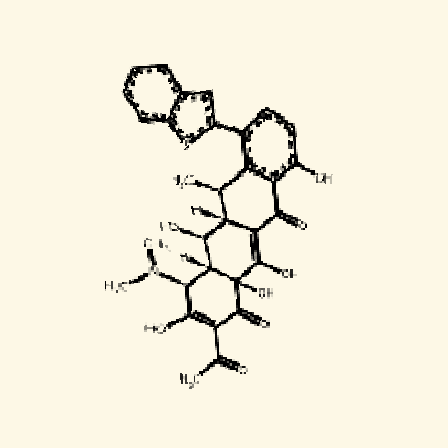 CC(=O)C1=C(O)[C@@H](N(C)C)[C@@H]2[C@@H](O)[C@H]3C(=C(O)[C@]2(O)C1=O)C(=O)c1c(O)ccc(-c2cc4ccccc4s2)c1[C@@H]3C